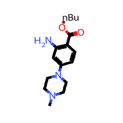 CCCCOC(=O)c1ccc(N2CCN(C)CC2)cc1N